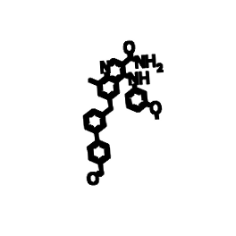 COc1cccc(Nc2c(C(N)=O)cnc3c(C)cc(Cc4cccc(-c5ccc(C=O)cc5)c4)cc23)c1